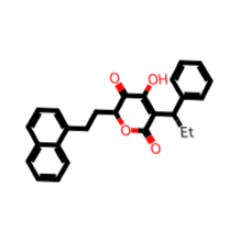 CCC(C1=C(O)C(=O)C(CCc2cccc3ccccc23)OC1=O)c1ccccc1